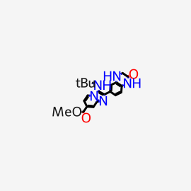 COC(=O)c1ccn2c(NC(C)(C)C)c(-c3ccc4c(c3)NCC(=O)N4)nc2c1